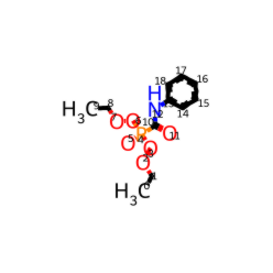 CCOOP(=O)(OOCC)C(=O)Nc1ccccc1